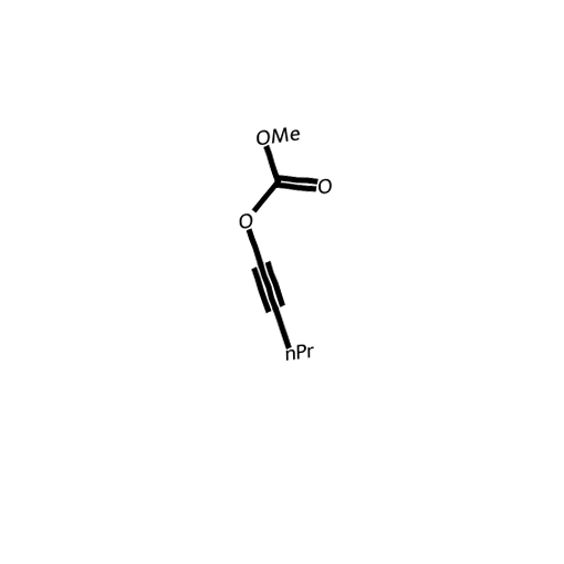 CCCC#COC(=O)OC